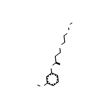 CCNOCCOCCC(=O)Nc1cccc(OC(C)C)c1